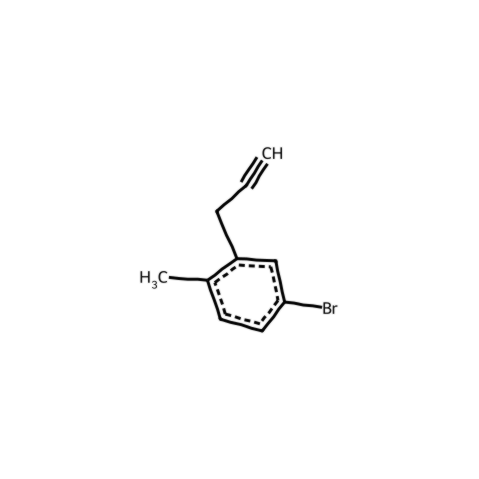 C#CCc1cc(Br)ccc1C